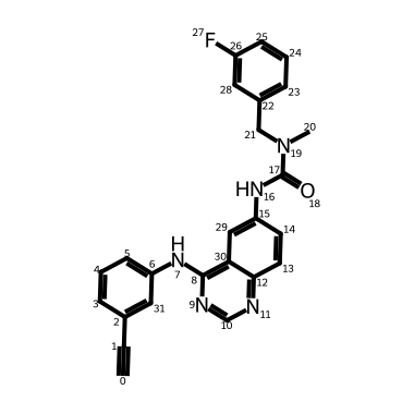 C#Cc1cccc(Nc2ncnc3ccc(NC(=O)N(C)Cc4cccc(F)c4)cc23)c1